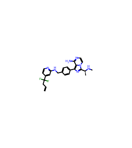 C=CCC(F)(F)c1ccnc(NCc2ccc(-c3nc([C@H](C)NC)n4ccnc(N)c34)cc2)c1